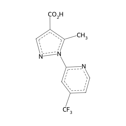 Cc1c(C(=O)O)cnn1-c1cc(C(F)(F)F)ccn1